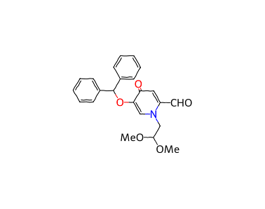 COC(Cn1cc(OC(c2ccccc2)c2ccccc2)c(=O)cc1C=O)OC